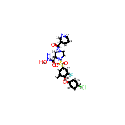 Cc1cc(S(=O)(=O)N2CCN(C(=O)c3cccnc3)C[C@@H]2C(=O)NO)cc(F)c1Oc1ccc(Cl)cc1